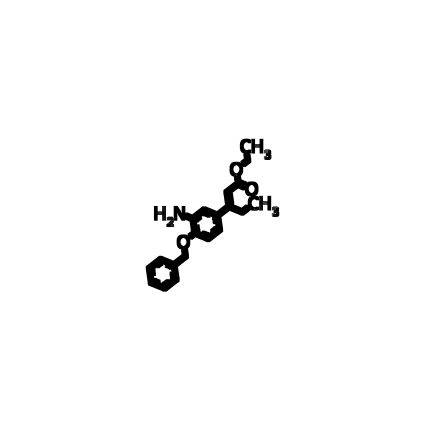 CCOC(=O)C=C(CC)c1ccc(OCc2ccccc2)c(N)c1